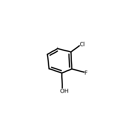 Oc1cc[c]c(Cl)c1F